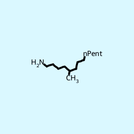 CCCCCCCCC(C)CCCCN